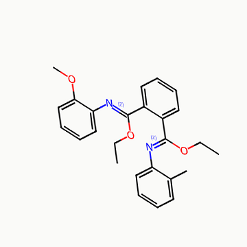 CCO/C(=N\c1ccccc1C)c1ccccc1/C(=N/c1ccccc1OC)OCC